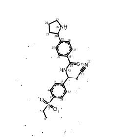 CCS(=O)(=O)c1ccc(C(CC#N)NC(=O)c2ccc(C3CCCN3)cc2)cc1